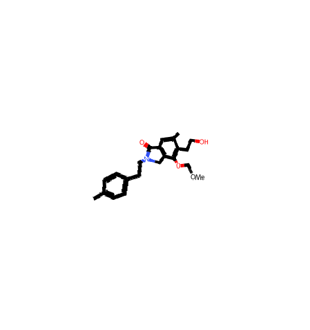 COCOc1c(CCO)c(C)cc2c1CN(CCc1ccc(C)cc1)C2=O